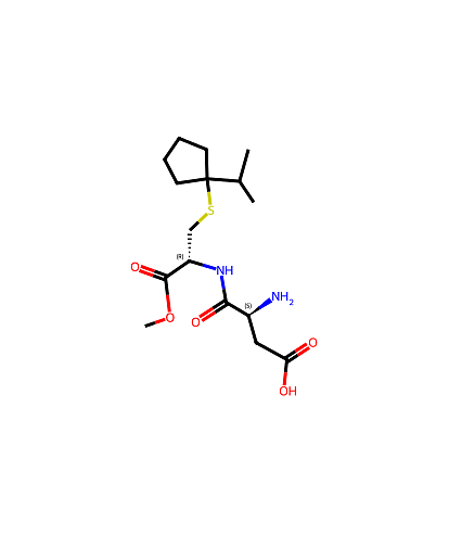 COC(=O)[C@H](CSC1(C(C)C)CCCC1)NC(=O)[C@@H](N)CC(=O)O